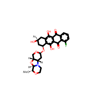 CO[C@H]1OCCN2[C@@H]1O[C@@H]1CO[C@@H](O[C@H]3C[C@](O)(C(C)=O)Cc4c(O)c5c(c(O)c43)C(=O)c3c(F)cccc3C5=O)C[C@@H]12